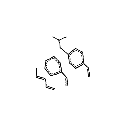 C=CC=CC.C=Cc1ccc(CN(C)C)cc1.C=Cc1ccccc1